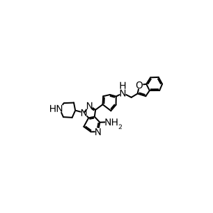 Nc1nccc2c1c(-c1ccc(NCc3cc4ccccc4o3)cc1)nn2C1CCNCC1